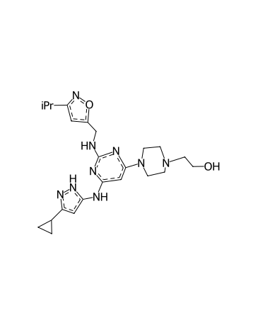 CC(C)c1cc(CNc2nc(Nc3cc(C4CC4)n[nH]3)cc(N3CCN(CCO)CC3)n2)on1